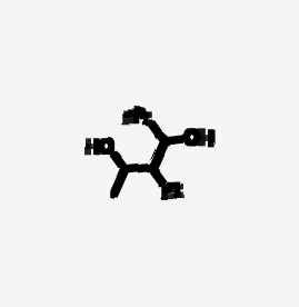 [CH2]CCC(O)C(CC)C(C)O